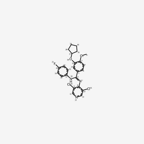 COc1ccc(C(=Nc2c(Cl)cncc2Cl)Nc2ccc(F)cc2)cc1OC1CCCC1